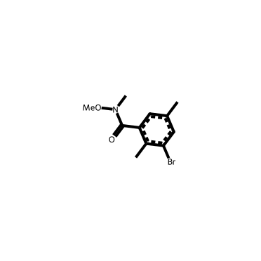 CON(C)C(=O)c1cc(C)cc(Br)c1C